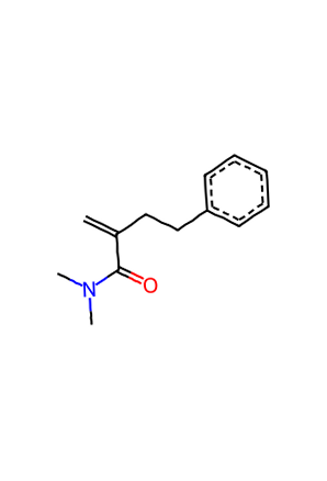 C=C(CCc1ccccc1)C(=O)N(C)C